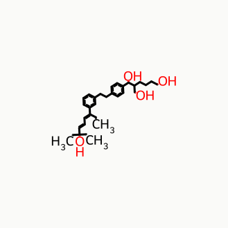 CC/C(=C\C=C\C(O)(CC)CC)c1cccc(CCc2ccc(C(O)C(CO)CCCCO)cc2)c1